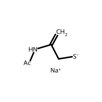 C=C(C[S-])NC(C)=O.[Na+]